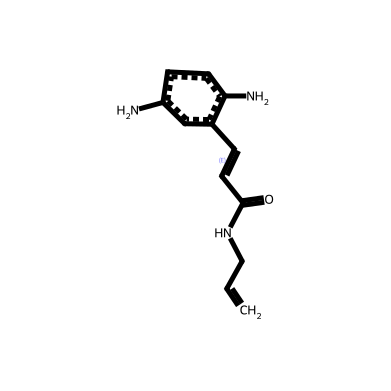 C=CCNC(=O)/C=C/c1cc(N)ccc1N